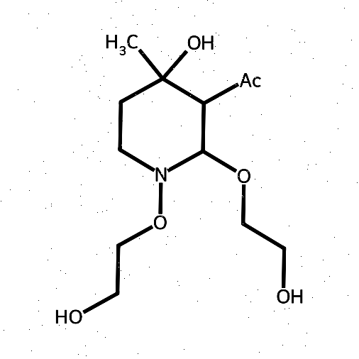 CC(=O)C1C(OCCO)N(OCCO)CCC1(C)O